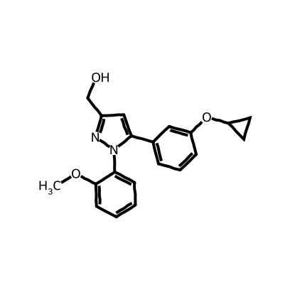 COc1ccccc1-n1nc(CO)cc1-c1cccc(OC2CC2)c1